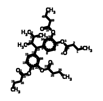 CCCC(=O)Oc1ccc(C(c2ccc(OC(=O)CCC)c(OC(=O)CCC)c2)C(C)C(C)C)cc1OC(=O)CCC